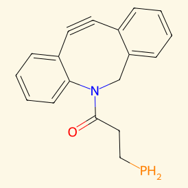 O=C(CCP)N1Cc2ccccc2C#Cc2ccccc21